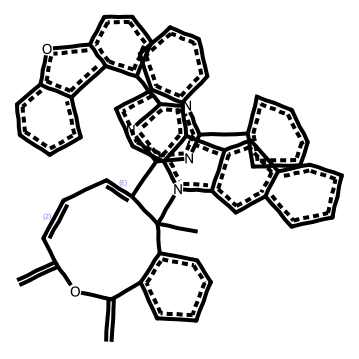 C=C1/C=C\C=C(\c2nc(-c3ccccc3)nc(-c3cccc4oc5ccccc5c34)n2)C(C)(n2c3cc4ccccc4cc3c3c4ccccc4ccc32)c2ccccc2C(=C)O1